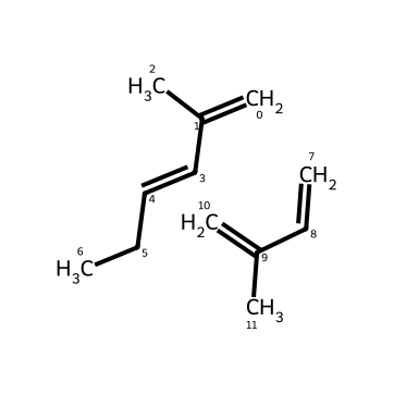 C=C(C)C=CCC.C=CC(=C)C